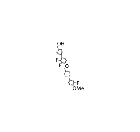 COc1ccc(C2CCC(COc3ccc(-c4ccc(CO)cc4)c(F)c3F)CC2)cc1F